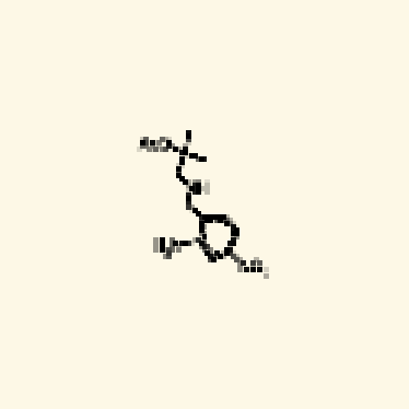 CC(=O)OC(C)(C)CNCc1ccc([N+](=O)[O-])cc1N